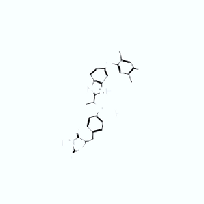 Cc1cc(Oc2ccc3nc(C(C)Oc4ccc(CC5SC(=O)NC5=O)cc4)[nH]c3c2)c(C)cc1O.Cl